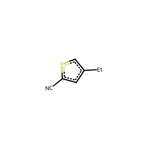 [CH2]Cc1csc(C#N)c1